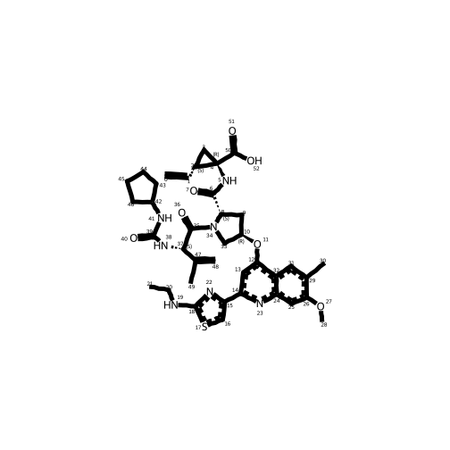 C=C[C@@H]1C[C@]1(NC(=O)[C@@H]1C[C@@H](Oc2cc(-c3csc(NCC)n3)nc3cc(OC)c(C)cc23)CN1C(=O)[C@@H](NC(=O)NC1CCCC1)C(=C)C)C(=O)O